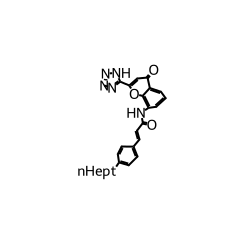 CCCCCCCc1ccc(/C=C/C(=O)Nc2cccc3c(=O)cc(-c4nnn[nH]4)oc23)cc1